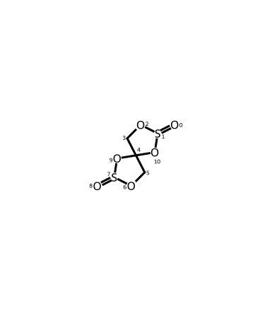 O=S1OCC2(COS(=O)O2)O1